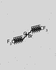 O=C(CCCC(F)(F)C(F)(F)C(F)(F)C(F)(F)C(F)(F)C(F)(F)F)C(Br)CCCC(F)(F)C(F)(F)C(F)(F)C(F)(F)C(F)(F)C(F)(F)F